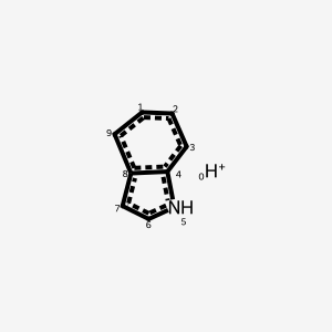 [H+].c1ccc2[nH]ccc2c1